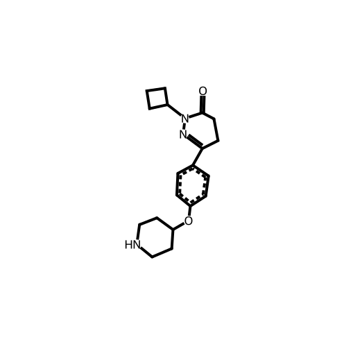 O=C1CCC(c2ccc(OC3CCNCC3)cc2)=NN1C1CCC1